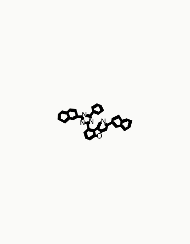 c1ccc(-c2nc(-c3ccc4ccccc4c3)nc(-c3cccc4oc5cc(-c6ccc7ccccc7c6)ncc5c34)n2)cc1